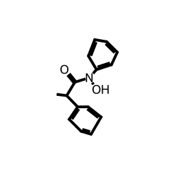 CC(C(=O)N(O)c1ccccc1)c1ccccc1